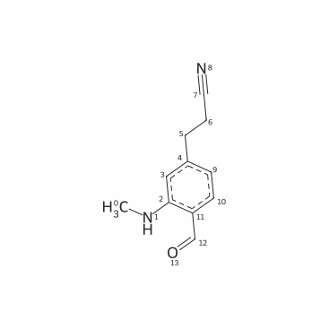 CNc1cc(CCC#N)ccc1C=O